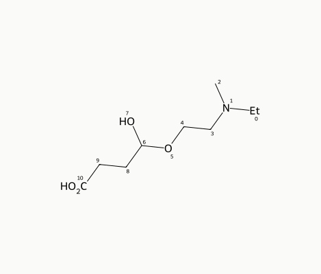 CCN(C)CCOC(O)CCC(=O)O